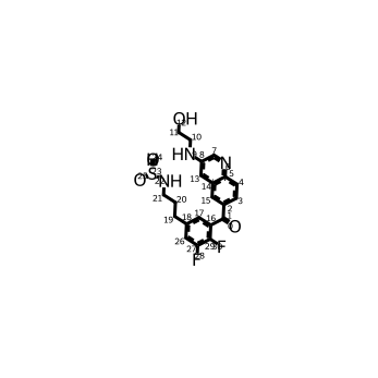 O=C(c1ccc2ncc(NCCO)cc2c1)c1cc(CCCN[SH](=O)=O)cc(F)c1F